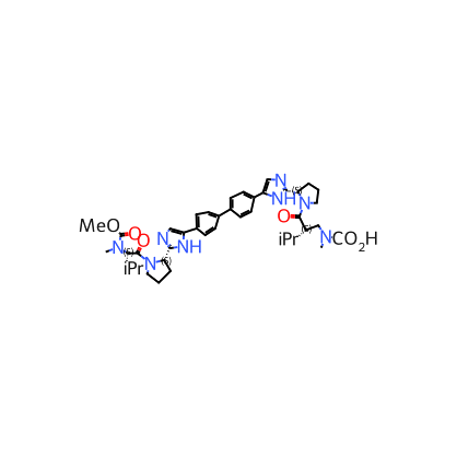 COC(=O)N(C)[C@H](C(=O)N1CCC[C@H]1c1ncc(-c2ccc(-c3ccc(-c4cnc([C@@H]5CCCN5C(=O)[C@H](CN(C)C(=O)O)C(C)C)[nH]4)cc3)cc2)[nH]1)C(C)C